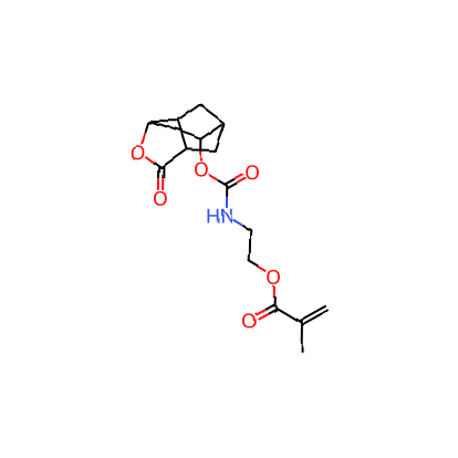 C=C(C)C(=O)OCCNC(=O)OC1C2CC3C(=O)OC1C3C2